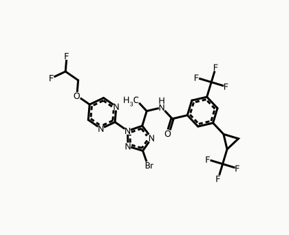 CC(NC(=O)c1cc(C2CC2C(F)(F)F)cc(C(F)(F)F)c1)c1nc(Br)nn1-c1ncc(OCC(F)F)cn1